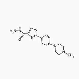 CN1CCN(c2ccc(-c3nc(C(=O)NN)cs3)cc2)CC1